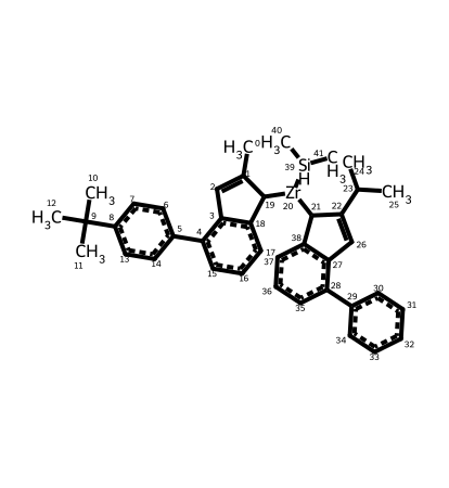 CC1=Cc2c(-c3ccc(C(C)(C)C)cc3)cccc2[CH]1[Zr]([CH]1C(C(C)C)=Cc2c(-c3ccccc3)cccc21)[SiH](C)C